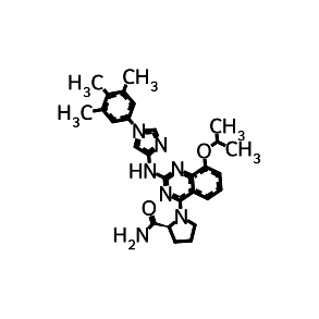 Cc1cc(-n2cnc(Nc3nc(N4CCC[C@H]4C(N)=O)c4cccc(OC(C)C)c4n3)c2)cc(C)c1C